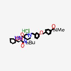 CCCCN1C(=O)[C@@H](CC2(O)CCCCC2)NC(=O)C12CCN(Cc1cccc(OCc3ccc(C(=O)NC)cc3)c1)CC2.Cl